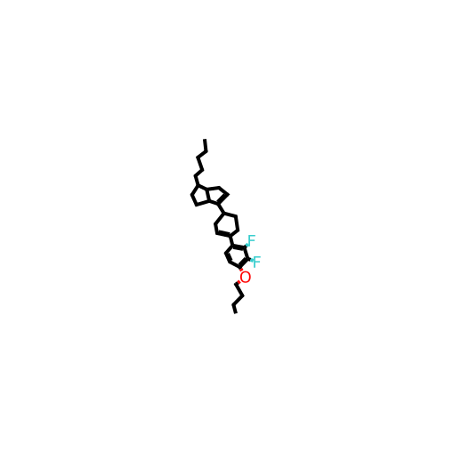 CCCCCC1CCC2C(C3CC=C(c4ccc(OCCCC)c(F)c4F)CC3)=CCC12